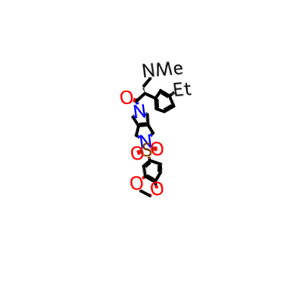 CCc1cccc([C@@H](CCNC)C(=O)N2CC3=C(C2)CN(S(=O)(=O)c2ccc4c(c2)OCCO4)C3)c1